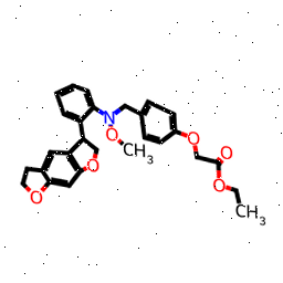 CCOC(=O)COc1ccc(CN(OC)c2ccccc2C2COc3cc4c(cc32)CCO4)cc1